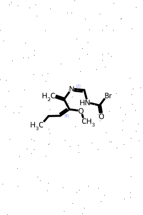 C=C(/N=C\NC(=O)Br)/C(=C\CC)OC